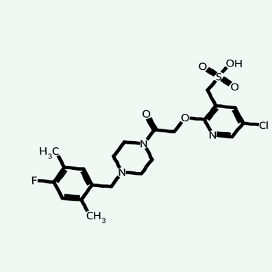 Cc1cc(CN2CCN(C(=O)COc3ncc(Cl)cc3CS(=O)(=O)O)CC2)c(C)cc1F